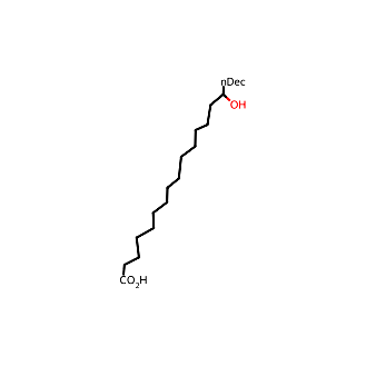 CCCCCCCCCCC(O)CCCCCCCCCCCCCC(=O)O